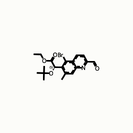 CCOC(=O)[C@@H](OC(C)(C)C)c1c(C)cc2nc(C=O)ccc2c1Br